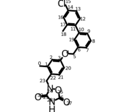 Cc1cc(OCc2cccc(-c3ccc(Cl)cc3C)c2)ccc1Cn1oc(=O)[nH]c1=O